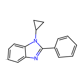 [c]1ccc2c(c1)nc(-c1ccccc1)n2C1CC1